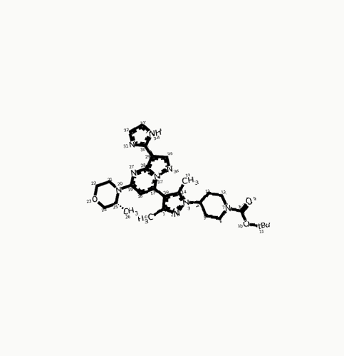 Cc1nn(C2CCN(C(=O)OC(C)(C)C)CC2)c(C)c1-c1cc(N2CCOC[C@H]2C)nc2c(-c3ncc[nH]3)cnn12